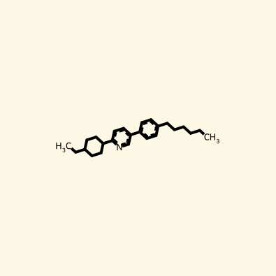 CCCCCCc1ccc(-c2ccc(C3CCC(CC)CC3)nc2)cc1